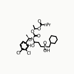 CCCC(=O)OC(C)OC(=O)N(C(O)CCP(=O)(O)CC1CCCCC1)[C@H](C)c1ccc(Cl)c(Cl)c1